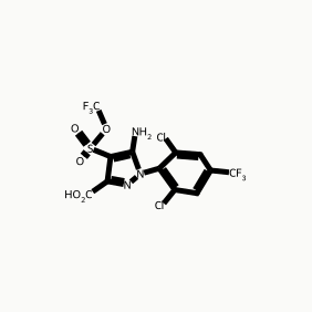 Nc1c(S(=O)(=O)OC(F)(F)F)c(C(=O)O)nn1-c1c(Cl)cc(C(F)(F)F)cc1Cl